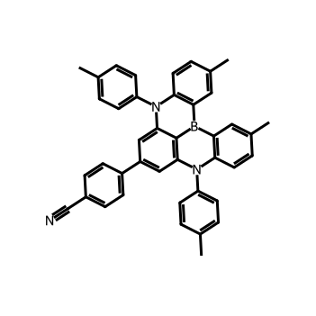 Cc1ccc(N2c3ccc(C)cc3B3c4cc(C)ccc4N(c4ccc(C)cc4)c4cc(-c5ccc(C#N)cc5)cc2c43)cc1